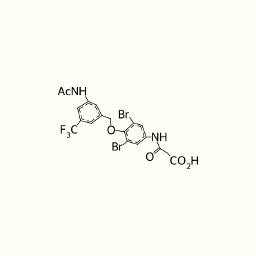 CC(=O)Nc1cc(COc2c(Br)cc(NC(=O)CC(=O)O)cc2Br)cc(C(F)(F)F)c1